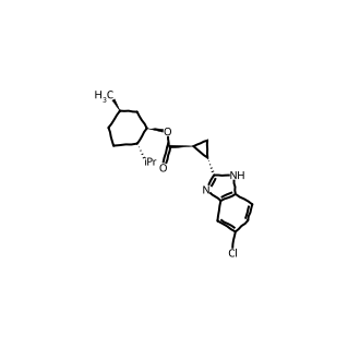 CC(C)[C@@H]1CC[C@@H](C)C[C@H]1OC(=O)[C@H]1C[C@@H]1c1nc2cc(Cl)ccc2[nH]1